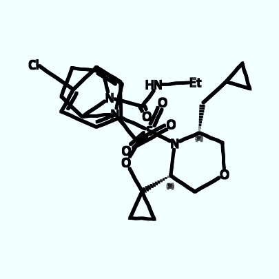 CCNC(=O)N1C2CCC1N(C(=O)OC1([C@H]3COC[C@@H](CC4CC4)N3S(=O)(=O)c3ccc(Cl)cc3)CC1)C2